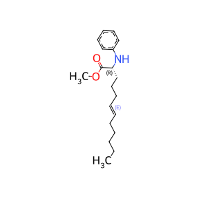 CCCCC/C=C/CCC[C@@H](Nc1ccccc1)C(=O)OC